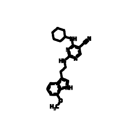 COc1cccc2c(CCNc3ncc(C#N)c(NC4CCCCC4)n3)c[nH]c12